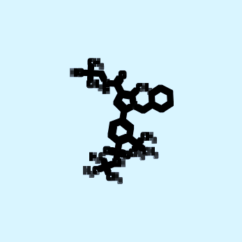 Cc1c(C(=O)NCC(C)(C)O)cc(-c2ccc(S(=O)(=O)NC(C)(C)C)c(C(C)(C)C)c2)n1CC1CCCCC1